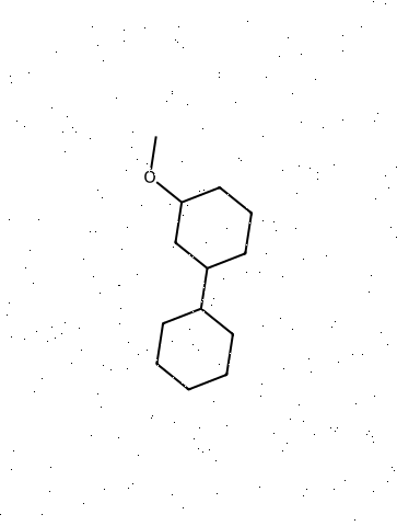 COC1CCCC(C2CCCCC2)C1